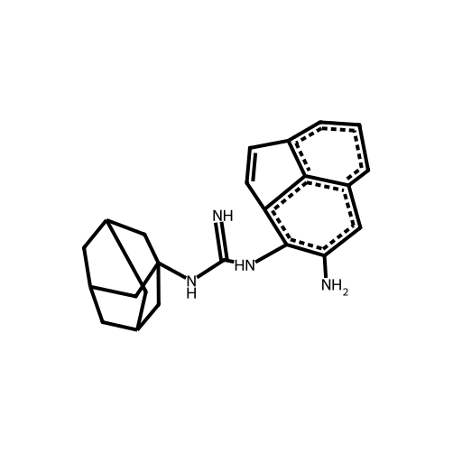 N=C(Nc1c(N)cc2cccc3c2c1C=C3)NC12CC3CC(CC(C3)C1)C2